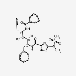 CN(c1nc(C(=O)N[C@H](Cc2ccccc2)[C@@H](O)[C@H](O)[C@H](CC#N)NC(=O)c2ccccc2)co1)S(C)(=O)=O